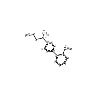 COc1ccccc1-c1ccc(N(C)CCC(C)C)cc1